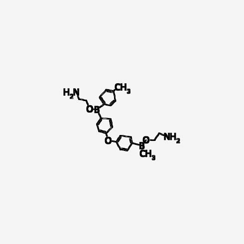 CB(OCCN)c1ccc(Oc2ccc(B(OCCN)c3ccc(C)cc3)cc2)cc1